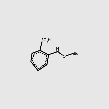 CCC(C)ONc1ccccc1S(=O)(=O)O